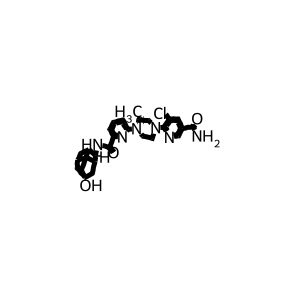 C[C@@H]1CN(c2ncc(C(N)=O)cc2Cl)CCN1c1cccc(C(=O)N[C@H]2C3CC4CC2C[C@](O)(C4)C3)n1